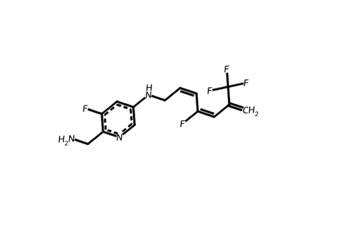 C=C(/C=C(F)\C=C/CNc1cnc(CN)c(F)c1)C(F)(F)F